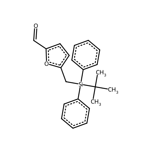 CC(C)(C)[Si](Cc1ccc(C=O)o1)(c1ccccc1)c1ccccc1